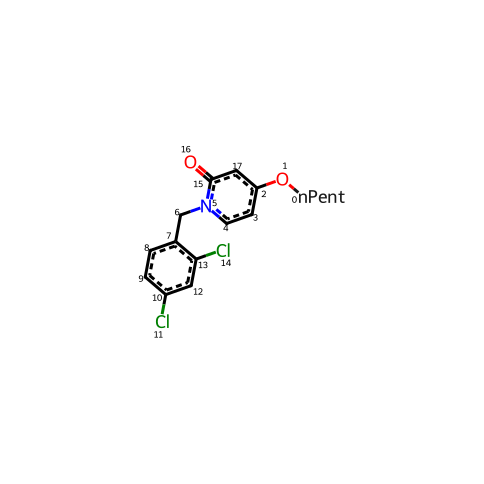 CCCCCOc1ccn(Cc2ccc(Cl)cc2Cl)c(=O)c1